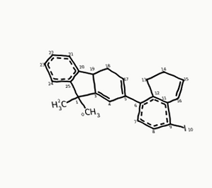 CC1(C)C2=CC(c3ccc(I)c4c3CCC=C4)=CCC2c2ccccc21